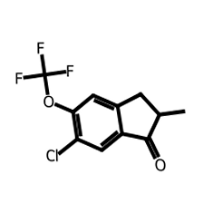 CC1Cc2cc(OC(F)(F)F)c(Cl)cc2C1=O